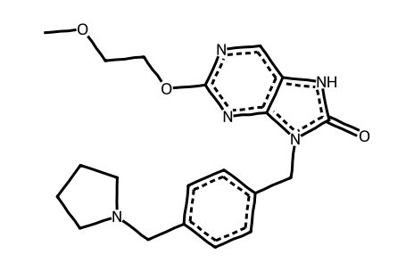 COCCOc1ncc2[nH]c(=O)n(Cc3ccc(CN4CCCC4)cc3)c2n1